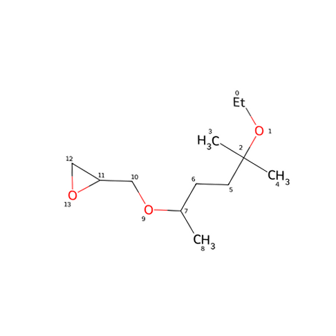 CCOC(C)(C)CCC(C)OCC1CO1